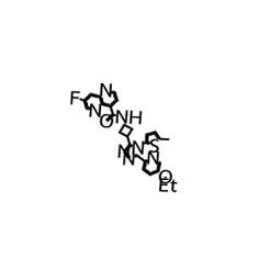 CCOc1ccc(-c2nnc(C3CC(NC(=O)c4ccnc5cc(F)cnc45)C3)n2-c2ccc(C)s2)nc1